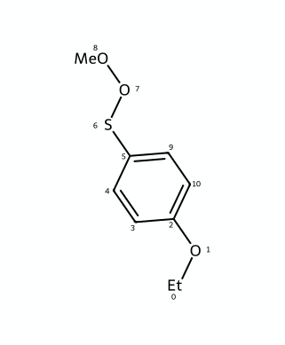 CCOc1ccc(SOOC)cc1